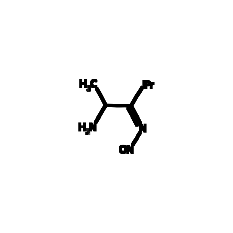 CC(C)/C(=N/N=O)C(C)N